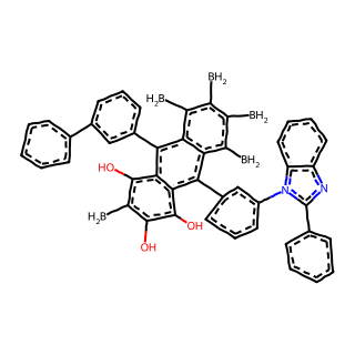 Bc1c(B)c(B)c2c(-c3cccc(-n4c(-c5ccccc5)nc5ccccc54)c3)c3c(O)c(O)c(B)c(O)c3c(-c3cccc(-c4ccccc4)c3)c2c1B